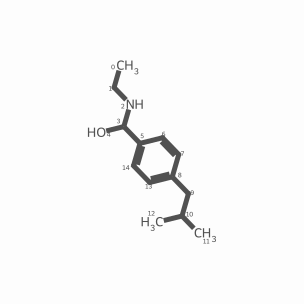 CCNC(O)c1ccc(CC(C)C)cc1